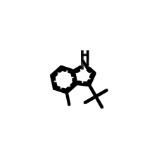 Cc1cccc2[nH]cc(C(C)(C)C)c12